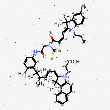 Cc1ccc(NC(=O)CN2C(=O)/C(=C\C=C3/N(CCC(C)C)c4ccc(C(F)(F)F)cc4C3(C)C)SC2=S)cc1C(C)(C)C(C)/C=C/C=C1/N(CCC(=O)O)c2ccc3ccccc3c2C1(C)C